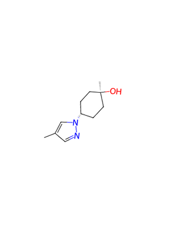 Cc1cnn([C@H]2CC[C@](C)(O)CC2)c1